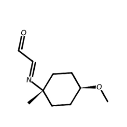 CO[C@H]1CC[C@](C)(N=CC=O)CC1